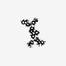 CC1(C)c2ccccc2-c2ccc(N(c3ccc([Si](C)(C)C)cc3)c3ccc4c(ccc5c6ccc(N(c7ccc([Si](C)(C)C)cc7)c7ccc8c(c7)C(C)(C)c7ccccc7-8)cc6c6ccccc6c45)c3)cc21